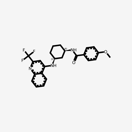 COc1ccc(C(=O)N[C@@H]2CCC[C@H](Nc3cc(C(F)(F)F)nc4ccccc34)C2)cc1